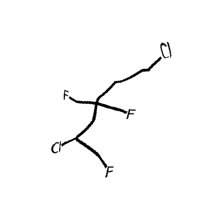 FC(Cl)C(F)(F)CCCl